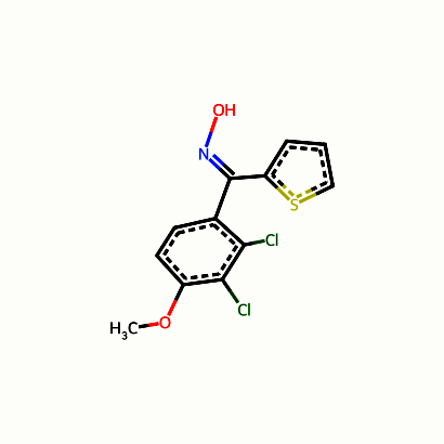 COc1ccc(C(=NO)c2cccs2)c(Cl)c1Cl